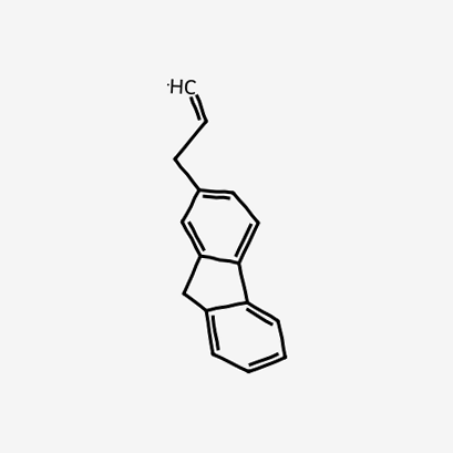 [CH]=CCc1ccc2c(c1)Cc1ccccc1-2